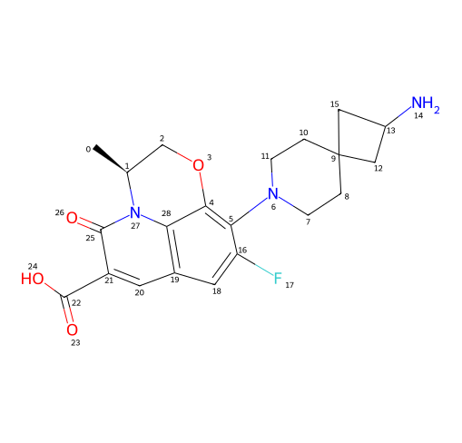 C[C@H]1COc2c(N3CCC4(CC3)CC(N)C4)c(F)cc3cc(C(=O)O)c(=O)n1c23